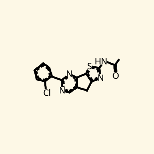 CC(=O)Nc1nc2c(s1)-c1nc(-c3ccccc3Cl)ncc1C2